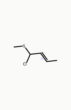 C/C=C/C(Cl)SC